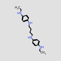 CCNc1ccc(NCCCCNc2ccc(NCC)cc2)cc1